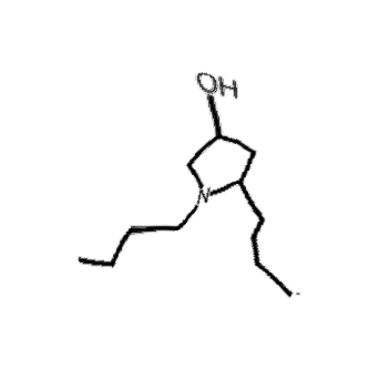 [CH2]CCC1CC(O)CN1CCCC